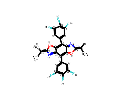 C/C(C#N)=c1\nc2c(-c3cc(F)c(F)c(F)c3)c3oc(=C(C#N)C#N)nc3c(-c3cc(F)c(F)c(F)c3)c2o1